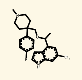 CC(OCC1(c2ccc(F)cc2)CCN(C)CC1)c1cc(C(F)(F)F)cc2[nH]ccc12